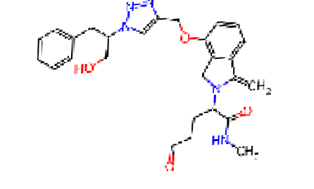 C=C1c2cccc(OCc3cn([C@@H](CO)Cc4ccccc4)nn3)c2CN1C(CCC=O)C(=O)NC